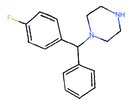 Fc1ccc(C(c2ccccc2)N2CCNCC2)cc1